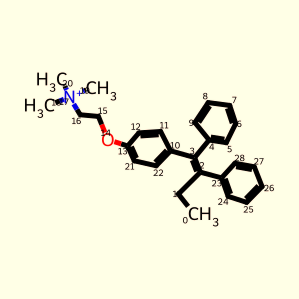 CCC(=C(c1ccccc1)c1ccc(OCC[N+](C)(C)C)cc1)c1ccccc1